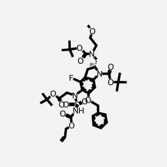 C=CCOC(=O)NS(=O)(=O)N(CC(=O)OC(C)(C)C)c1c(OCc2ccccc2)cc2c(c1F)C[C@H](CN(CCOC)C(=O)OC(C)(C)C)N2C(=O)OC(C)(C)C